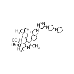 Cc1nc(C)c([C@H](OC(C)(C)C)C(=O)O)c(N2CCC(C)(C)CC2)c1-c1ccc2c(c1)CCN(c1cc(N3CCC(N4CCCCC4)CC3)ncn1)C2